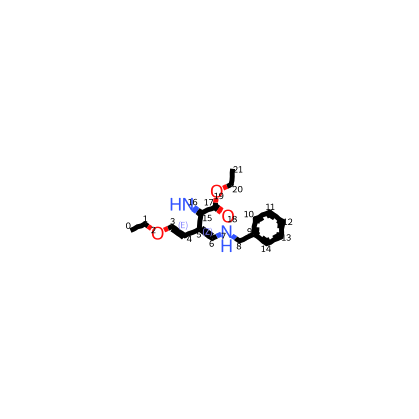 CCO/C=C/C(=C/NCc1ccccc1)C(=N)C(=O)OCC